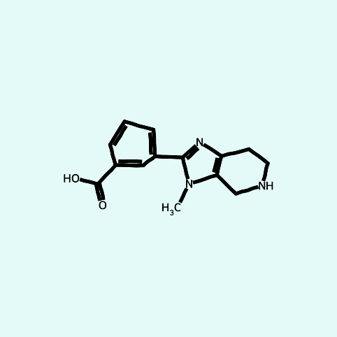 Cn1c(-c2cccc(C(=O)O)c2)nc2c1CNCC2